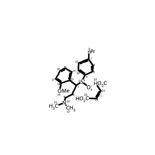 CCCc1ccc([S+]([O-])C(CCN(C)C)c2ccccc2OC)cc1.O=C(O)/C=C\C(=O)O